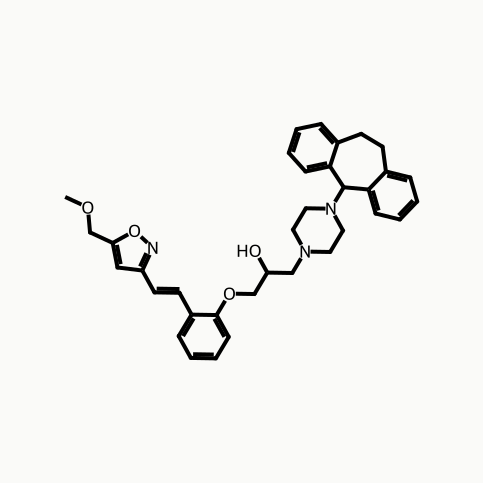 COCc1cc(/C=C/c2ccccc2OCC(O)CN2CCN(C3c4ccccc4CCc4ccccc43)CC2)no1